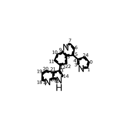 c1cncc(-c2ccnc3ccc(-c4c[nH]c5ncccc45)cc23)c1